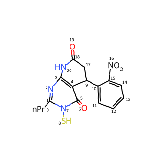 CCCc1nc2c(c(=O)n1S)C(c1ccccc1[N+](=O)[O-])CC(=O)N2